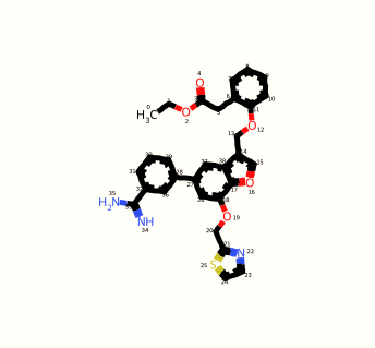 CCOC(=O)Cc1ccccc1OCc1coc2c(OCc3nccs3)cc(-c3cccc(C(=N)N)c3)cc12